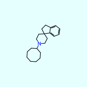 c1ccc2c(c1)CCC21CCN(C2CCCCCCC2)CC1